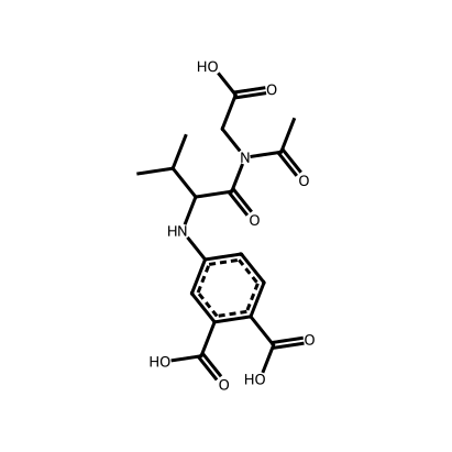 CC(=O)N(CC(=O)O)C(=O)C(Nc1ccc(C(=O)O)c(C(=O)O)c1)C(C)C